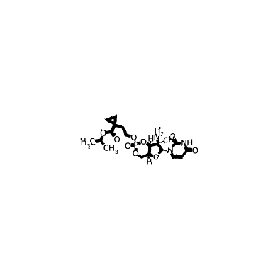 CC(C)OC(=O)C1(CCO[P@@]2(=O)OC[C@H]3O[C@@H](n4ccc(=O)[nH]c4=O)[C@](C)(N)[C@@H]3O2)CC1